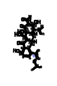 C/C(=N/OC(C)C)c1ccc(O)c2c1C[C@H]1C[C@H]3[C@H](N(C)C)C(O)C(C(N)=O)C(=O)[C@@]3(O)C(O)=C1C2=O